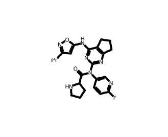 CC(C)c1cc(Nc2nc(N(C(=O)C3CCCN3)c3ccc(F)nc3)nc3c2CCC3)on1